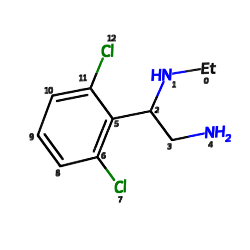 CCNC(CN)c1c(Cl)cccc1Cl